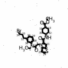 CCN(C(=O)Cn1c(C(=O)NC2CCC(C(=O)OC)CC2)cc2sccc21)c1cccc(CCCBr)c1